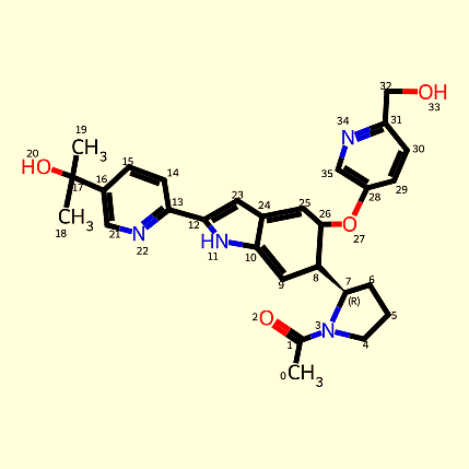 CC(=O)N1CCC[C@@H]1C1C=c2[nH]c(-c3ccc(C(C)(C)O)cn3)cc2=CC1Oc1ccc(CO)nc1